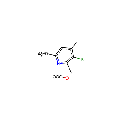 COc1cc(C)c(Br)c(C)n1.O=C([O-])[O-].[Ag+2]